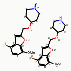 COc1ccc(Br)c2cc(COC3CCN(C)CC3)oc12.COc1ccc(Br)c2cc(COC3CCNCC3)oc12